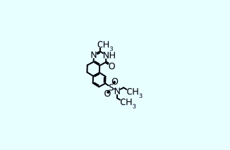 CCN(CC)S(=O)(=O)c1ccc2c(c1)-c1c(nc(C)[nH]c1=O)CC2